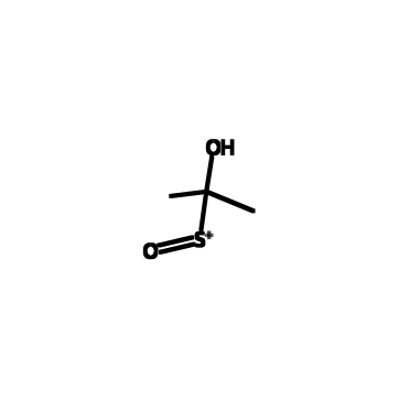 CC(C)(O)[S+]=O